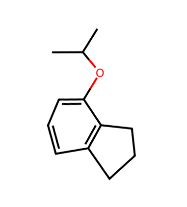 CC(C)Oc1cccc2c1CCC2